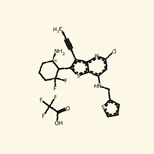 CC#Cc1c(C2[C@H](N)CCCC2(F)F)sc2c(NCc3cccs3)cc(Cl)nc12.O=C(O)C(F)(F)F